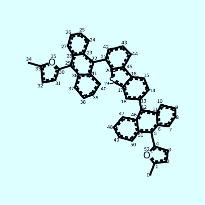 Cc1ccc(-c2c3ccccc3c(-c3ccc4c(c3)sc3c(-c5c6ccccc6c(-c6ccc(C)o6)c6ccccc56)cccc34)c3ccccc23)o1